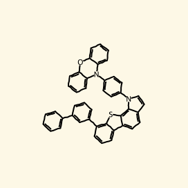 c1ccc(-c2cccc(-c3cccc4c3sc3c4ccc4ccn(-c5ccc(N6c7ccccc7Oc7ccccc76)cc5)c43)c2)cc1